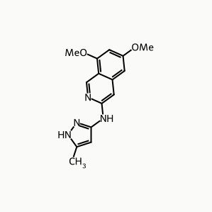 COc1cc(OC)c2cnc(Nc3cc(C)[nH]n3)cc2c1